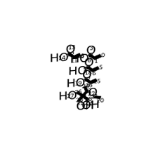 C=CC(=O)O.C=CC(=O)O.C=CC(=O)O.C=CC(=O)O.CCOC(C)C(CO)(CO)CO